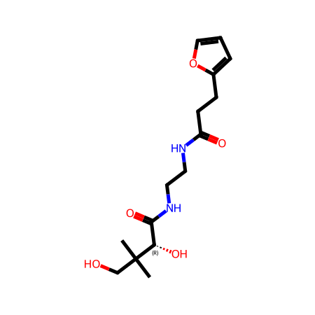 CC(C)(CO)[C@@H](O)C(=O)NCCNC(=O)CCc1ccco1